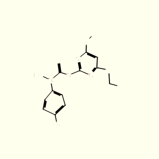 CCOc1cc(OCC(F)(F)F)nc(NC(=O)N(C)c2ccc(Br)cc2)n1